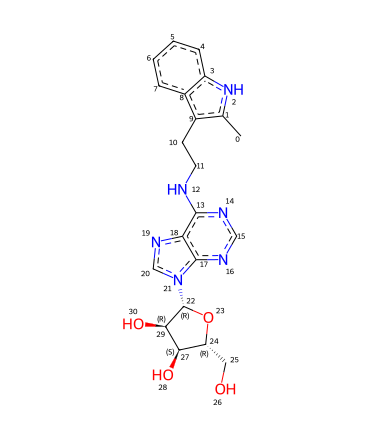 Cc1[nH]c2ccccc2c1CCNc1ncnc2c1ncn2[C@@H]1O[C@H](CO)[C@@H](O)[C@H]1O